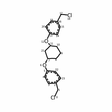 ClCc1ccc(O[C@@H]2CCC[C@H](Oc3ccc(CCl)cc3)C2)cc1